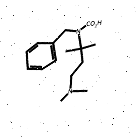 CN(C)CCC(C)(C)N(Cc1ccccc1)C(=O)O